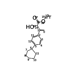 C=C(c1ccc(C2CCCCC2)cc1)C(O)C(=O)OC(C)C